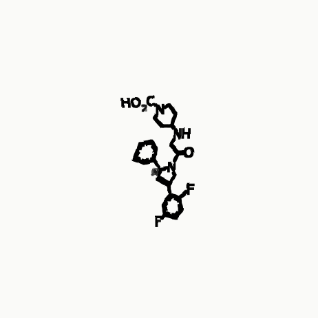 O=C(O)N1CCC(NCC(=O)N2CC(c3cc(F)ccc3F)=C[C@H]2c2ccccc2)CC1